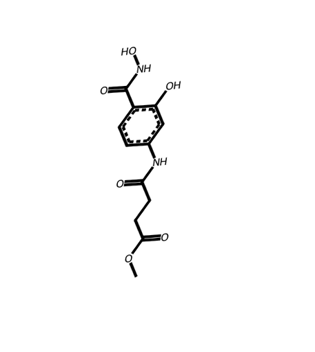 COC(=O)CCC(=O)Nc1ccc(C(=O)NO)c(O)c1